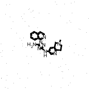 CN1CCc2ncc(Nc3nc(N)n(-c4nccc5ccccc45)n3)cc2C1